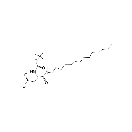 CCCCCCCCCCCCCCNC(=O)C(CC(=O)O)NC(=O)OC(C)(C)C